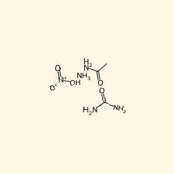 CC(N)=O.N.NC(N)=O.O=[N+]([O-])O